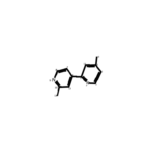 Cc1ccnc(-c2ccnc(C)c2)c1